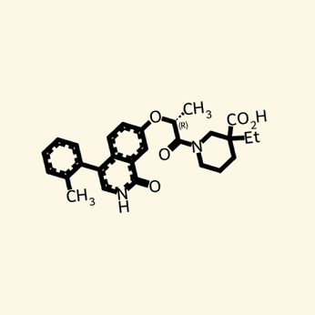 CCC1(C(=O)O)CCCN(C(=O)[C@@H](C)Oc2ccc3c(-c4ccccc4C)c[nH]c(=O)c3c2)C1